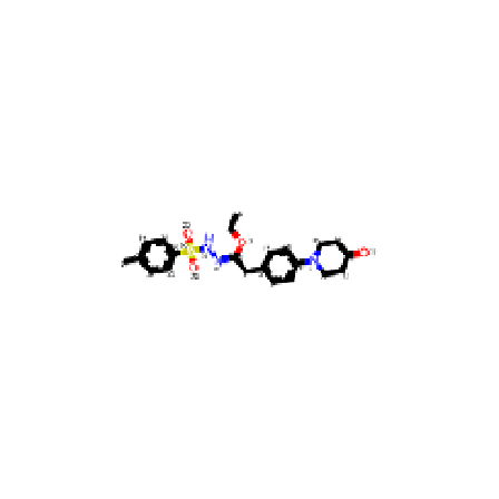 CCOC(Cc1ccc(N2CCC(=O)CC2)cc1)=NNS(=O)(=O)c1ccc(C)cc1